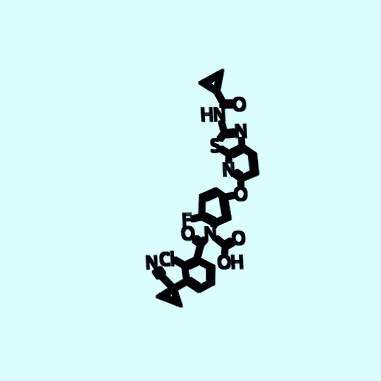 N#CC1(c2cccc(C(=O)N(C(=O)O)c3cc(Oc4ccc5nc(NC(=O)C6CC6)sc5n4)ccc3F)c2Cl)CC1